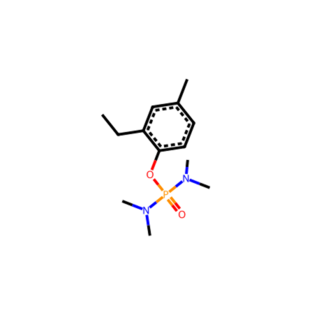 CCc1cc(C)ccc1OP(=O)(N(C)C)N(C)C